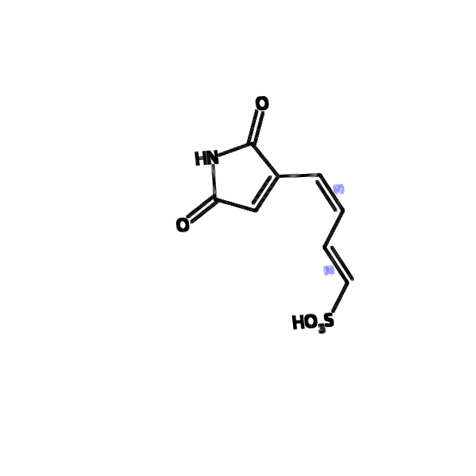 O=C1C=C(/C=C\C=C\S(=O)(=O)O)C(=O)N1